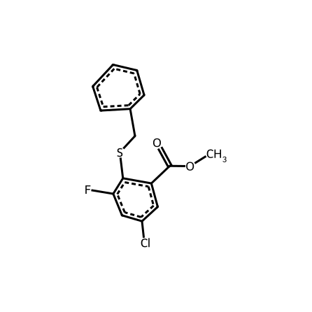 COC(=O)c1cc(Cl)cc(F)c1SCc1ccccc1